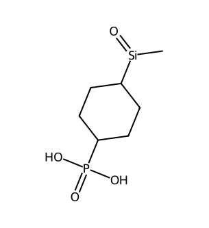 C[Si](=O)C1CCC(P(=O)(O)O)CC1